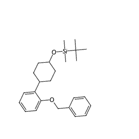 CC(C)(C)[Si](C)(C)OC1CCC(c2ccccc2OCc2ccccc2)CC1